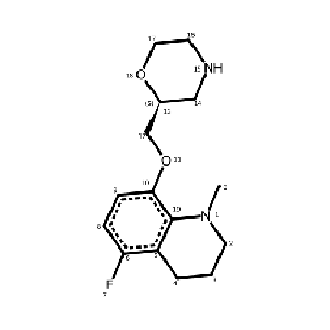 CN1CCCc2c(F)ccc(OC[C@@H]3CNCCO3)c21